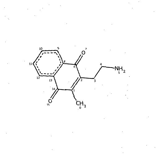 CC1=C(CCN)C(=O)c2ccccc2C1=O